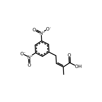 CC(=CCc1cc([N+](=O)[O-])cc([N+](=O)[O-])c1)C(=O)O